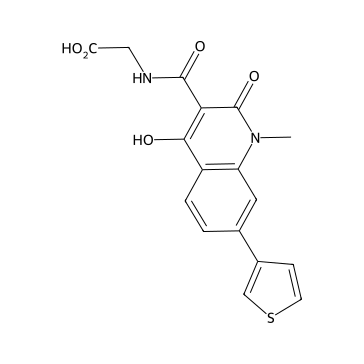 Cn1c(=O)c(C(=O)NCC(=O)O)c(O)c2ccc(-c3ccsc3)cc21